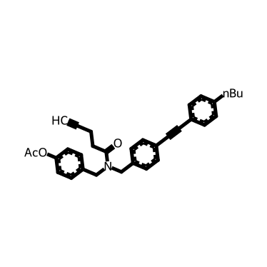 C#CCCC(=O)N(Cc1ccc(C#Cc2ccc(CCCC)cc2)cc1)Cc1ccc(OC(C)=O)cc1